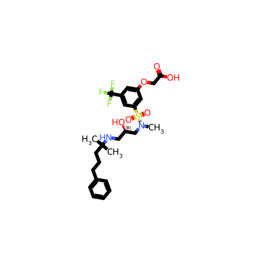 CN(C[C@H](O)CNC(C)(C)CCCc1ccccc1)S(=O)(=O)c1cc(OCC(=O)O)cc(C(F)(F)F)c1